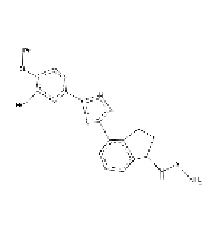 CC(C)Oc1ccc(-c2nsc(-c3cccc4c3CCC4NSN)n2)cc1C#N